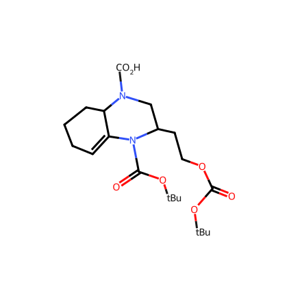 CC(C)(C)OC(=O)OCCC1CN(C(=O)O)C2CCCC=C2N1C(=O)OC(C)(C)C